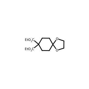 CCOC(=O)C1(C(=O)OCC)CCC2(CC1)OCCO2